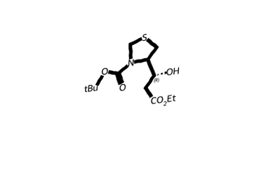 CCOC(=O)C[C@@H](O)C1CSCN1C(=O)OC(C)(C)C